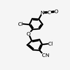 N#Cc1ccc(Oc2ccc(N=C=O)cc2Cl)cc1Cl